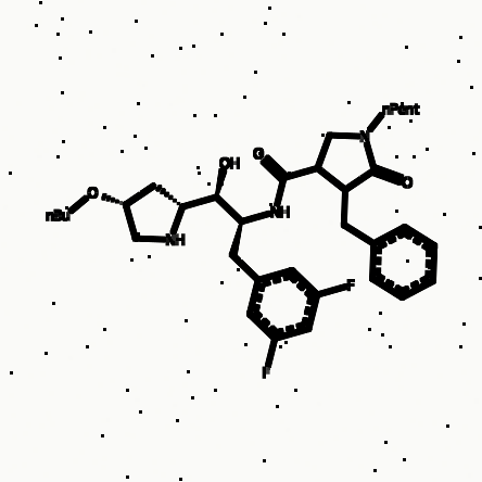 CCCCCN1CC(C(=O)N[C@@H](Cc2cc(F)cc(F)c2)[C@H](O)[C@H]2C[C@@H](OCCCC)CN2)C(Cc2ccccc2)C1=O